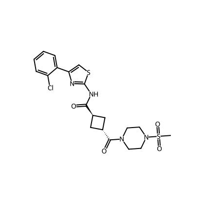 CS(=O)(=O)N1CCN(C(=O)[C@H]2C[C@H](C(=O)Nc3nc(-c4ccccc4Cl)cs3)C2)CC1